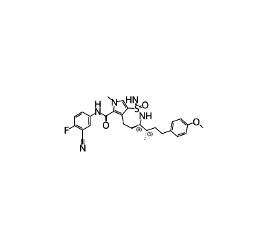 COc1ccc(CC[C@H](C)[C@H]2CCc3c(cn(C)c3C(=O)Nc3ccc(F)c(C#N)c3)S(=N)(=O)N2)cc1